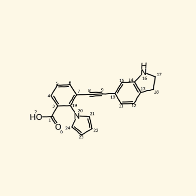 O=C(O)c1cccc(C#Cc2ccc3c(c2)NCC3)c1-n1cccc1